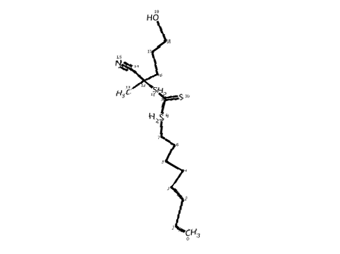 CCCCCCCC[SH2]C(=S)[SH2]C(C)(C#N)CCCO